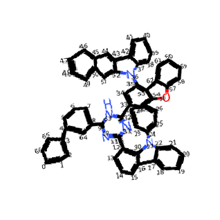 c1ccc(-c2cccc(C3N=C(c4cccc5c6ccccc6n(-c6ccccc6)c45)N=C(c4cc(-n5c6ccccc6c6cc7ccccc7cc65)c5c(c4)oc4ccccc45)N3)c2)cc1